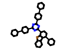 c1ccc(-c2ccc(-c3nc(-c4ccc(-c5ccccc5)cc4)nc(-c4ccc(-c5ccccc5)c5c4sc4ccccc45)n3)cc2)cc1